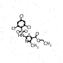 CCOC(=O)c1sc(NS(=O)(=O)c2c(Cl)cc(Cl)cc2Cl)nc1C